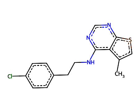 Cc1csc2ncnc(NCCc3ccc(Cl)cc3)c12